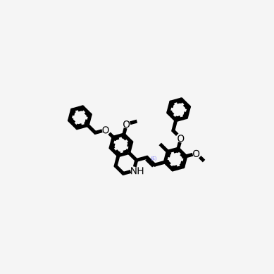 COc1cc2c(cc1OCc1ccccc1)CCNC2/C=C/c1ccc(OC)c(OCc2ccccc2)c1C